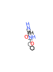 CC(C)(NC(=O)[C@H]1C2CNC[C@@H]21)C1CCc2ccccc2O1